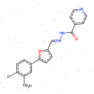 O=C(N/N=C/c1ccc(-c2ccc(Cl)c(C(=O)O)c2)o1)c1ccncc1